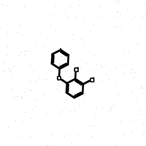 Clc1cccc(Oc2cc[c]cc2)c1Cl